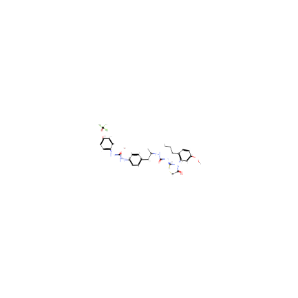 CCCc1ccc(OC)cc1N1C(=O)CSC1=NC(=O)NC(C)Cc1ccc(NC(=O)Nc2ccc(OC(F)(F)F)cc2)cc1